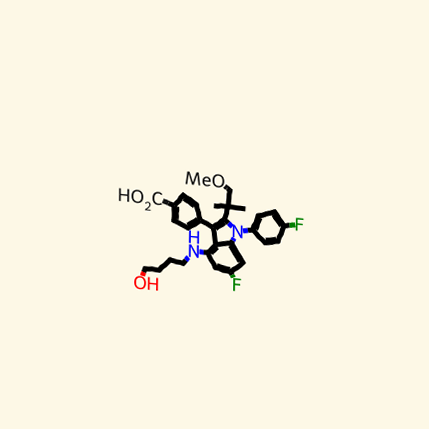 COCC(C)(C)c1c(-c2ccc(C(=O)O)cc2)c2c(NCCCCO)cc(F)cc2n1-c1ccc(F)cc1